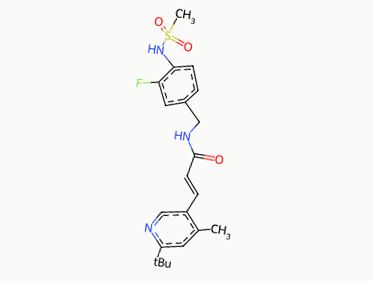 Cc1cc(C(C)(C)C)ncc1/C=C/C(=O)NCc1ccc(NS(C)(=O)=O)c(F)c1